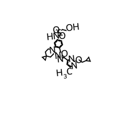 Cc1cc(-c2nnc(-c3ccc(NS(=O)(=O)CCO)cc3N3CCC4(CC3)CC4)o2)nc(OCC2CC2)n1